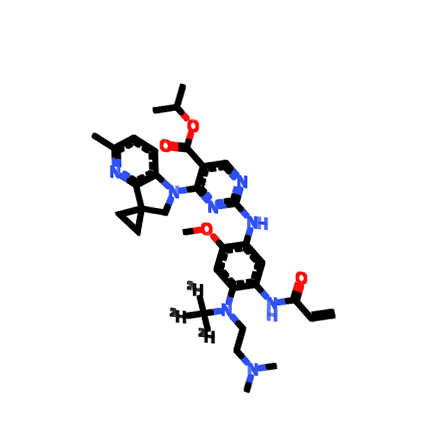 [2H]C([2H])([2H])N(CCN(C)C)c1cc(OC)c(Nc2ncc(C(=O)OC(C)C)c(N3CC4(CC4)c4nc(C)ccc43)n2)cc1NC(=O)C=C